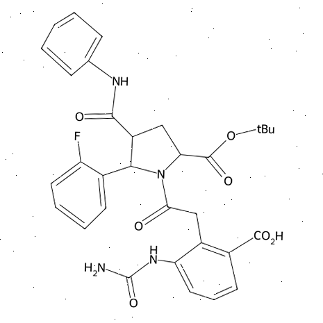 CC(C)(C)OC(=O)C1CC(C(=O)Nc2ccccc2)C(c2ccccc2F)N1C(=O)Cc1c(NC(N)=O)cccc1C(=O)O